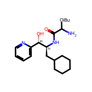 CC(C)COC(N)C(=O)N[C@@H](CC1CCCCC1)[C@@H](O)c1ccccn1